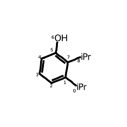 CC(C)c1cc[c]c(O)c1C(C)C